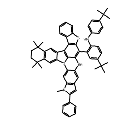 Cn1c(-c2ccccc2)cc2cc3c(cc21)-n1c2cc4c(cc2c2c5c(sc6ccccc65)c(-c5cc(C(C)(C)C)ccc5Nc5ccc(C(C)(C)C)cc5)c(c21)B3)C(C)(C)CCC4(C)C